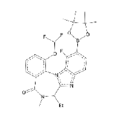 CCC1c2nc3ccc(B4OC(C)(C)C(C)(C)O4)c(F)c3n2-c2c(OC(F)F)cccc2C(=O)N1C